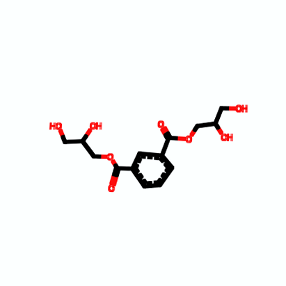 O=C(OCC(O)CO)c1cccc(C(=O)OCC(O)CO)c1